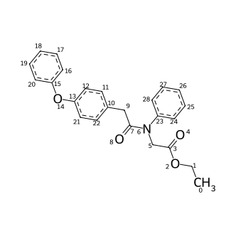 CCOC(=O)CN(C(=O)Cc1ccc(Oc2ccccc2)cc1)c1ccccc1